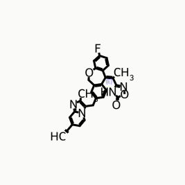 C#Cc1ccn2c(Cc3ccc4c(c3)COc3cc(F)ccc3/C4=C(\C)c3noc(=O)[nH]3)c(C)nc2c1